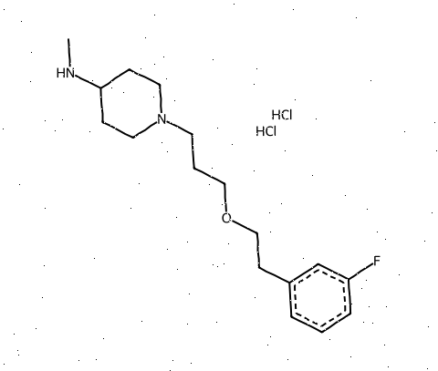 CNC1CCN(CCCOCCc2cccc(F)c2)CC1.Cl.Cl